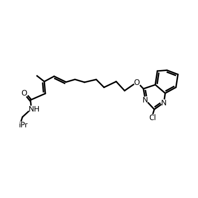 CC(C=CCCCCCCOc1nc(Cl)nc2ccccc12)=CC(=O)NCC(C)C